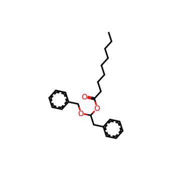 CCCCCCCCC(=O)OC(Cc1ccccc1)OCc1ccccc1